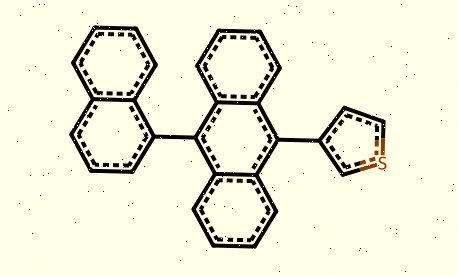 c1ccc2c(-c3c4ccccc4c(-c4ccsc4)c4ccccc34)cccc2c1